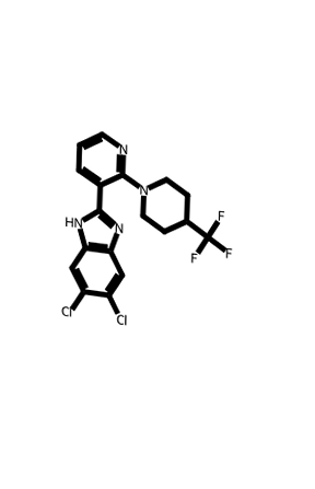 FC(F)(F)C1CCN(c2ncccc2-c2nc3cc(Cl)c(Cl)cc3[nH]2)CC1